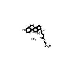 C[C@H](CCC(=O)NCCS(=O)(=O)O)[C@H]1CCC2C3CCC4C[C@H](O)CC[C@]4(C)C3C[C@H](O)[C@@]21C.N